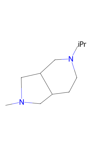 CC(C)N1CCC2CN(C)CC2C1